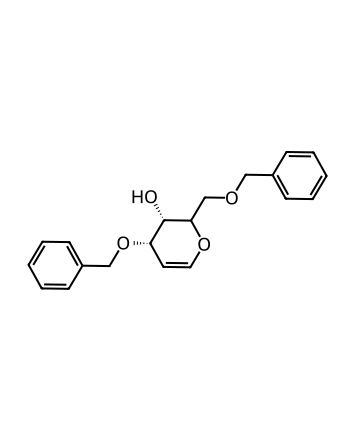 O[C@@H]1C(COCc2ccccc2)OC=C[C@@H]1OCc1ccccc1